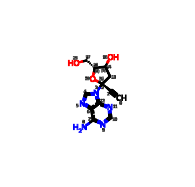 C#C[C@]1(n2cnc3c(N)ncnc32)C[C@H](O)[C@@H](CO)O1